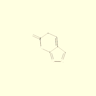 S=C1CC=C2C=NN=C2N1